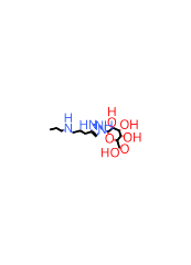 CCCNCCCC1=CN(C2OC(C(=O)O)C(O)C(O)C2O)NN1